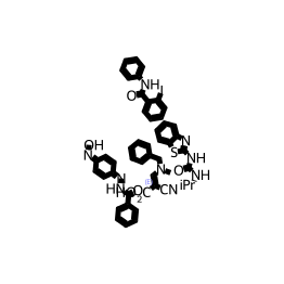 CC(C)NC(=O)Nc1nc2ccccc2s1.CN(/C=C(\C#N)C(=O)O)Cc1ccccc1.O=C(NN=C1C=CC(=NO)C=C1)c1ccccc1.O=C(Nc1ccccc1)c1ccccc1I